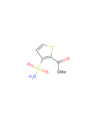 COC(=O)c1sccc1S(N)(=O)=O